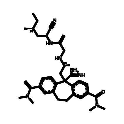 C=C(CN[C@@H](C)CC1(C(=N)N)c2ccc(C(=C)N(C)C)cc2CCc2cc(C(=O)N(C)C)ccc21)NC(C#N)C[C@@H](C)CC